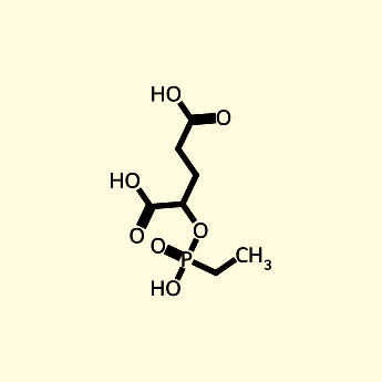 CCP(=O)(O)OC(CCC(=O)O)C(=O)O